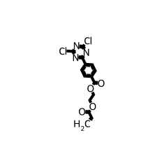 C=CC(=O)OCCOC(=O)c1ccc(-c2nc(Cl)nc(Cl)n2)cc1